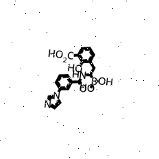 O=C(NC(Cc1cccc(C(=O)O)c1O)B(O)O)c1cccc(-n2ccnc2)c1